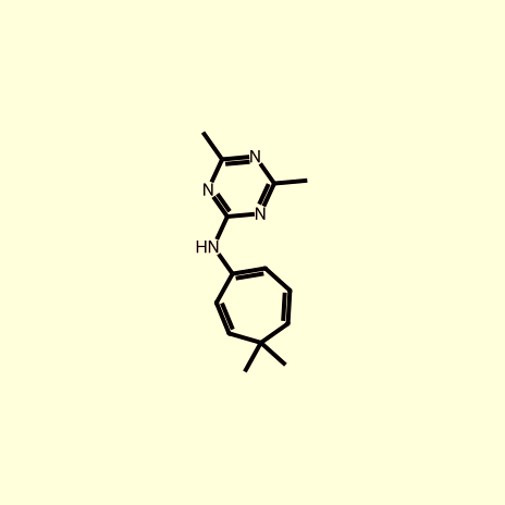 Cc1nc(C)nc(NC2=CC=CC(C)(C)C=C2)n1